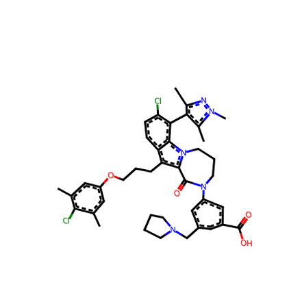 Cc1cc(OCCCc2c3n(c4c(-c5c(C)nn(C)c5C)c(Cl)ccc24)CCCN(c2cc(CN4CCCC4)cc(C(=O)O)c2)C3=O)cc(C)c1Cl